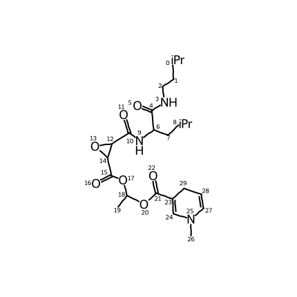 CC(C)CCNC(=O)C(CC(C)C)NC(=O)C1OC1C(=O)OC(C)OC(=O)C1=CN(C)C=CC1